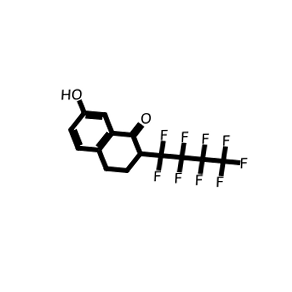 O=C1c2cc(O)ccc2CCC1C(F)(F)C(F)(F)C(F)(F)C(F)(F)F